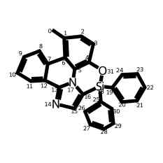 Cc1ccc2c3c1c1ccccc1c1ncc(n13)[Si](c1ccccc1)(c1ccccc1)O2